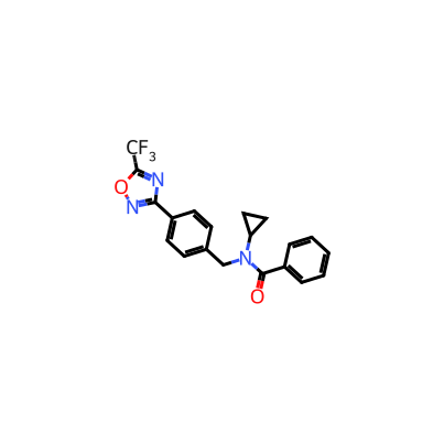 O=C(c1ccccc1)N(Cc1ccc(-c2noc(C(F)(F)F)n2)cc1)C1CC1